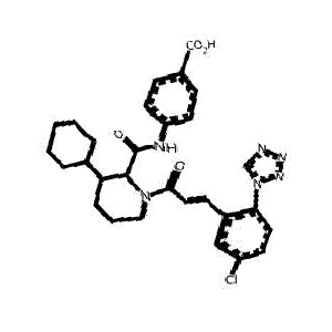 O=C(O)c1ccc(NC(=O)C2C(C3CCCCC3)CCCN2C(=O)/C=C/c2cc(Cl)ccc2-n2cnnn2)cc1